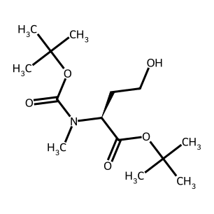 CN(C(=O)OC(C)(C)C)[C@@H](CCO)C(=O)OC(C)(C)C